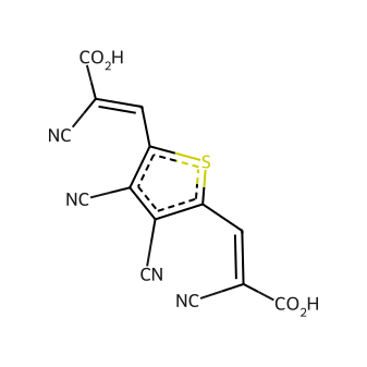 N#C/C(=C\c1sc(/C=C(\C#N)C(=O)O)c(C#N)c1C#N)C(=O)O